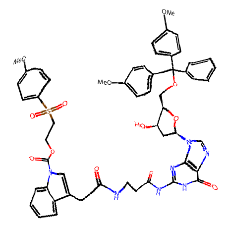 COc1ccc(C(OC[C@H]2O[C@@H](n3cnc4c(=O)[nH]c(NC(=O)CCNC(=O)Cc5cn(C(=O)OCCS(=O)(=O)c6ccc(OC)cc6)c6ccccc56)nc43)C[C@H]2O)(c2ccccc2)c2ccc(OC)cc2)cc1